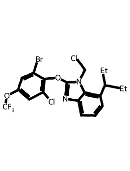 CCC(CC)c1cccc2nc(Oc3c(Cl)cc(OC(F)(F)F)cc3Br)n(CCl)c12